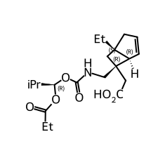 CCC(=O)O[C@H](OC(=O)NC[C@@]1(CC(=O)O)C[C@]2(CC)CC=C[C@H]21)C(C)C